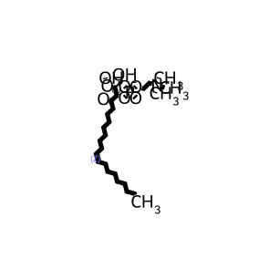 CCCCCCCC/C=C\CCCCCCCC(=O)C(OP(=O)([O-])OCC[N+](C)(C)C)[C@H](CO)OO